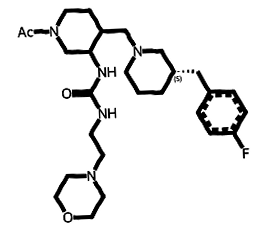 CC(=O)N1CCC(CN2CCC[C@@H](Cc3ccc(F)cc3)C2)C(NC(=O)NCCN2CCOCC2)C1